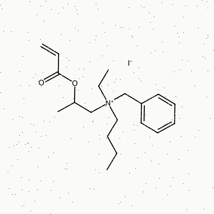 C=CC(=O)OC(C)C[N+](CC)(CCCC)Cc1ccccc1.[I-]